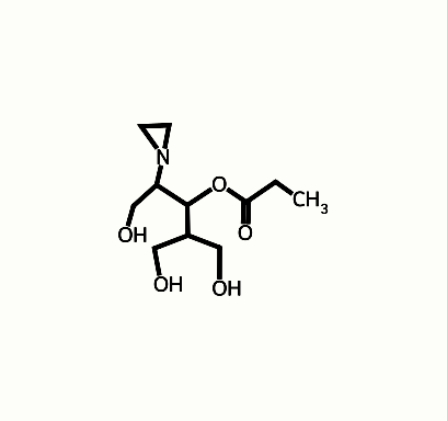 CCC(=O)OC(C(CO)CO)C(CO)N1CC1